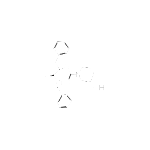 O=C(OCc1ccccc1)C(Cc1ccccc1)OC(=O)N1CCC[C@H](O)C1